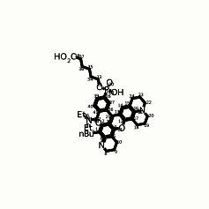 CCCCc1cc2c(c3c1=NCCC3)Oc1c(cc3c4c1CCCN4CCC3)C=2c1cc(P(=O)(O)OCCCCCC(=O)O)ccc1C(=O)N(CC)CC